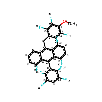 COc1c(F)c(F)c(Cc2c3cccc(F)c3c(-c3c(F)c(F)cc(F)c3F)c3c(F)ccc(F)c23)c(F)c1F